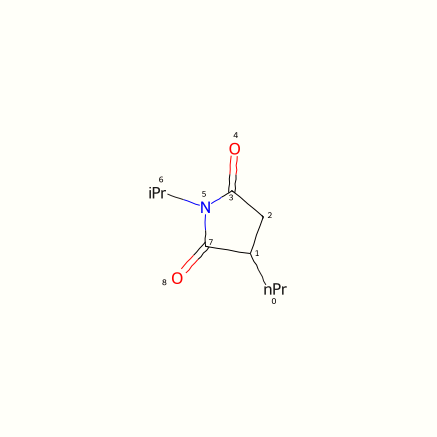 CCCC1CC(=O)N(C(C)C)C1=O